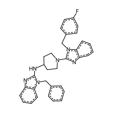 Fc1ccc(Cn2c(N3CCC(Nc4nc5ccccc5n4Cc4ccccc4)CC3)nc3ccccc32)cc1